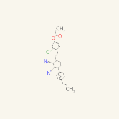 CCCC12CCC(c3ccc(CCc4ccc(OC(=O)CC)cc4Cl)c(C#N)c3C#N)(CC1)CC2